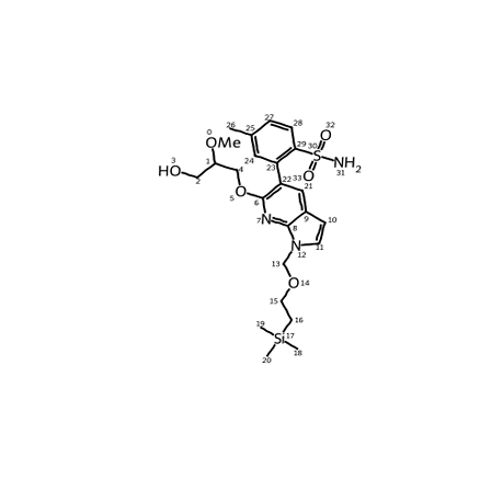 COC(CO)COc1nc2c(ccn2COCC[Si](C)(C)C)cc1-c1cc(C)ccc1S(N)(=O)=O